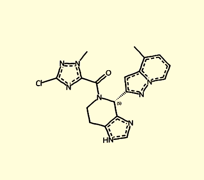 Cc1cccn2nc([C@@H]3c4nc[nH]c4CCN3C(=O)c3nc(Cl)nn3C)cc12